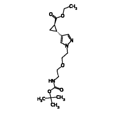 CCOC(=O)[C@@H]1C[C@H]1c1cnn(CCOCCNC(=O)OC(C)(C)C)c1